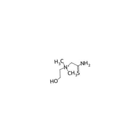 C[N+](C)(CCO)CC(N)=S